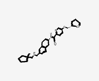 CC1(CNCc2ccc3c(c2)CC[C@H](NC(=O)c2ccc(OC[C@@H]4CCCO4)cn2)C3)CCCC1